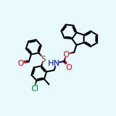 Cc1c(Cl)ccc(Sc2ccccc2C=O)c1CNC(=O)OCC1c2ccccc2-c2ccccc21